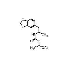 CC(=O)OC(C)OC(=O)NC(C)Cc1ccc2c(c1)OCO2